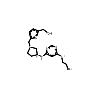 CC(C)(C)CCNc1cc(N[C@H]2CCN(Cc3ccc(CO)o3)C2)ncn1